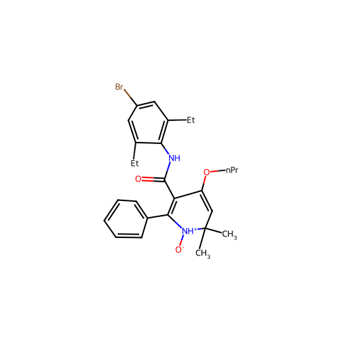 CCCOC1=CC(C)(C)[NH+]([O-])C(c2ccccc2)=C1C(=O)Nc1c(CC)cc(Br)cc1CC